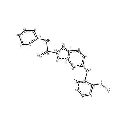 CCOc1cccnc1Oc1ccc2nc(C(=O)Nc3ccccc3)cn2c1